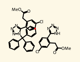 COC(=O)Cc1cc(Cl)ccc1-c1nnn[nH]1.COC(=O)Cc1cc(Cl)ccc1-c1nnnn1C(c1ccccc1)(c1ccccc1)c1ccccc1